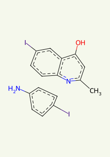 Cc1cc(O)c2cc(I)ccc2n1.Nc1ccc(I)cc1